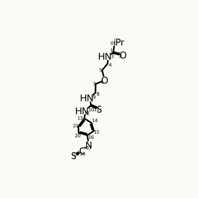 CC(C)C(=O)NCCOCCNC(=S)Nc1ccc(N=C=S)cc1